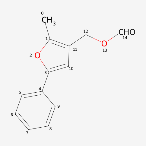 Cc1oc(-c2ccccc2)cc1COC=O